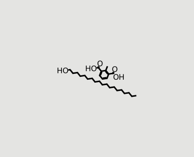 CCCCCCCCCCCCCCCCCCCO.Cc1c(C(=O)O)cccc1C(=O)O